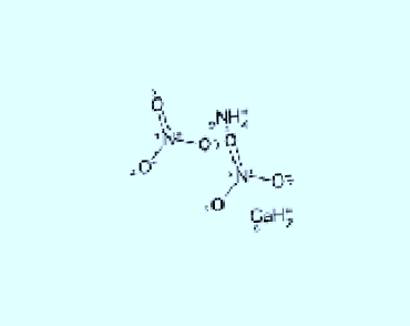 O=[N+]([O-])[O-].O=[N+]([O-])[O-].[GaH2+].[NH4+]